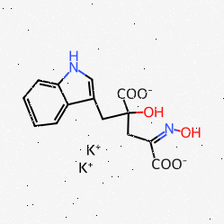 O=C([O-])C(CC(O)(Cc1c[nH]c2ccccc12)C(=O)[O-])=NO.[K+].[K+]